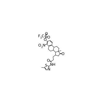 Cc1cnc(NC(=O)CCC2CC(=O)C3(C)CCC4c5ccc(OS(=O)(=O)C(F)(F)F)c([N+](=O)[O-])c5CCC4C23)s1